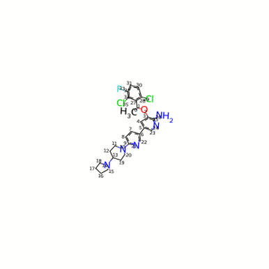 CC(Oc1cc(-c2ccc(N3CCC(N4CCCC4)CC3)nc2)cnc1N)c1c(Cl)ccc(F)c1Cl